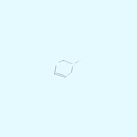 [2H]N1CC=COC1